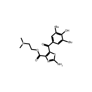 CN(C)CCOC(=O)c1nc(N)sc1C(=O)c1cc(C(C)(C)C)c(O)c(C(C)(C)C)c1